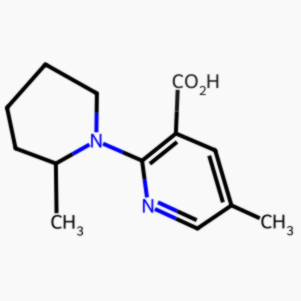 Cc1cnc(N2CCCCC2C)c(C(=O)O)c1